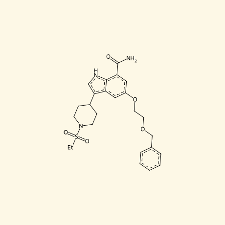 CCS(=O)(=O)N1CCC(c2c[nH]c3c(C(N)=O)cc(OCCOCc4ccccc4)cc23)CC1